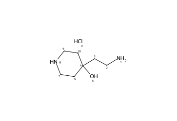 Cl.NCCC1(O)CCNCC1